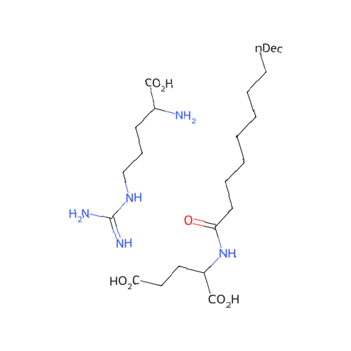 CCCCCCCCCCCCCCCCCC(=O)NC(CCC(=O)O)C(=O)O.N=C(N)NCCCC(N)C(=O)O